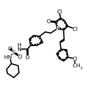 COc1cccc(/C=C/c2c(Cl)cc(Cl)c(=O)n2CCc2ccc(C(=O)NS(=O)(=O)NC3CCCCC3)cc2)c1